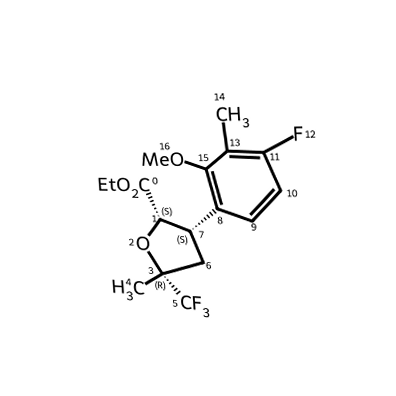 CCOC(=O)[C@H]1O[C@@](C)(C(F)(F)F)C[C@H]1c1ccc(F)c(C)c1OC